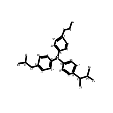 CCCc1ccc(N(c2ccc(CC(C)C)cc2)c2ccc(C(C)C(C)C)cc2)cc1